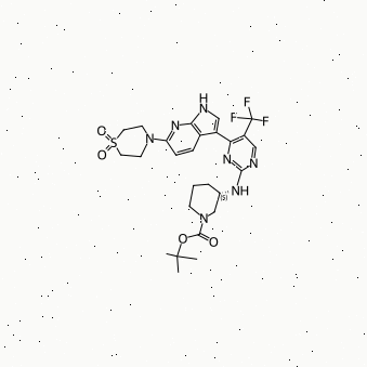 CC(C)(C)OC(=O)N1CCC[C@H](Nc2ncc(C(F)(F)F)c(-c3c[nH]c4nc(N5CCS(=O)(=O)CC5)ccc34)n2)C1